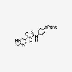 CCCCCc1ccc(NC(=S)NC(=O)c2cnc3ccnn3c2)cc1